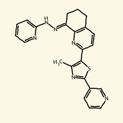 Cc1nc(-c2cccnc2)sc1-c1ccc2c(n1)/C(=N/Nc1ccccn1)CCC2